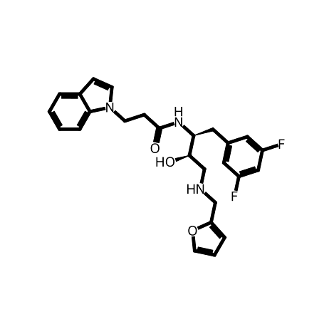 O=C(CCn1ccc2ccccc21)N[C@@H](Cc1cc(F)cc(F)c1)[C@H](O)CNCc1ccco1